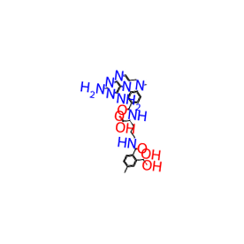 Cc1ccc(C(=O)NCCC[C@H](NC(=O)c2ccc(N(C)Cc3cnc4nc(N)nc(N)c4n3)cc2)C(=O)O)c(C(O)O)c1